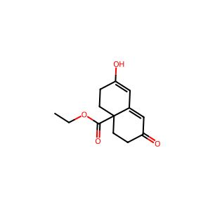 CCOC(=O)C12CCC(=O)C=C1C=C(O)CC2